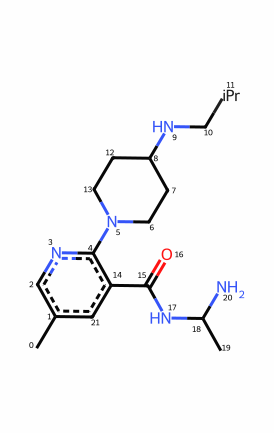 Cc1cnc(N2CCC(NCC(C)C)CC2)c(C(=O)NC(C)N)c1